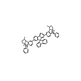 CC1CCC2(C)C1c1cc(-c3ccc4c(c3)C3(c5ccccc5-c5ccccc53)c3cc(-c5ccc6c(c5)C5C(C)CCC5(C)N6c5ccccc5)ccc3-4)ccc1N2c1ccccc1